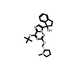 CN1CCC[C@H]1COc1nc(OC(C)(C)C)c2ncc(C3(O)CCc4ccccc43)n2n1